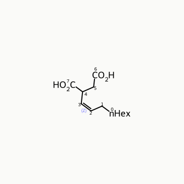 CCCCCCC/C=C\C(CC(=O)O)C(=O)O